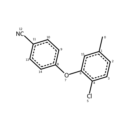 Cc1ccc(Cl)c(Oc2ccc(C#N)cc2)c1